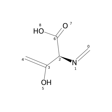 C=N[C@@H](C(=C)O)C(=O)O